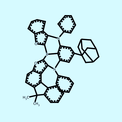 CC1(C)c2ccccc2-c2c1ccc1oc3c(c21)N(c1ccccc1)c1cc(C24CC5CC(CC(C5)C2)C4)cc2c1B3c1oc3ccccc3c1N2c1ccccc1